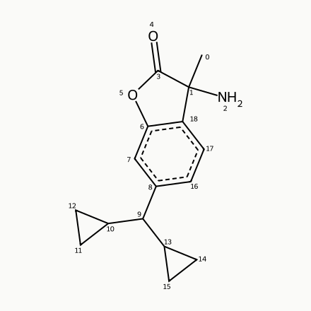 CC1(N)C(=O)Oc2cc(C(C3CC3)C3CC3)ccc21